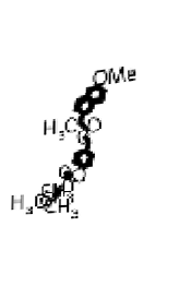 COc1ccc2cc([C@H](C)C(=O)OCc3ccc(OC(=O)OCCS(C)(C)C)cc3)ccc2c1